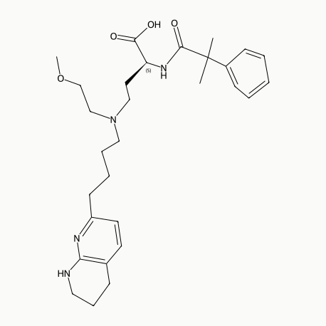 COCCN(CCCCc1ccc2c(n1)NCCC2)CC[C@H](NC(=O)C(C)(C)c1ccccc1)C(=O)O